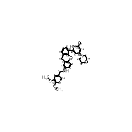 COc1cc(CNc2ccc3c(c2)Cc2cccc(-c4cc(N5CCOCC5)cc(=O)[nH]4)c2O3)cnc1OC